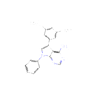 COc1cc(OC)cc(-c2cn(-c3ccccc3)c3ncnc(N)c23)c1